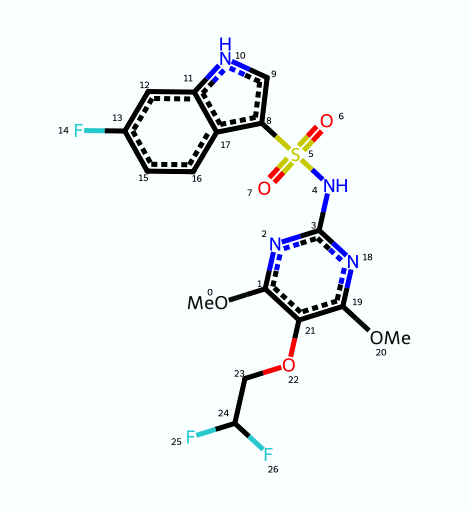 COc1nc(NS(=O)(=O)c2c[nH]c3cc(F)ccc23)nc(OC)c1OCC(F)F